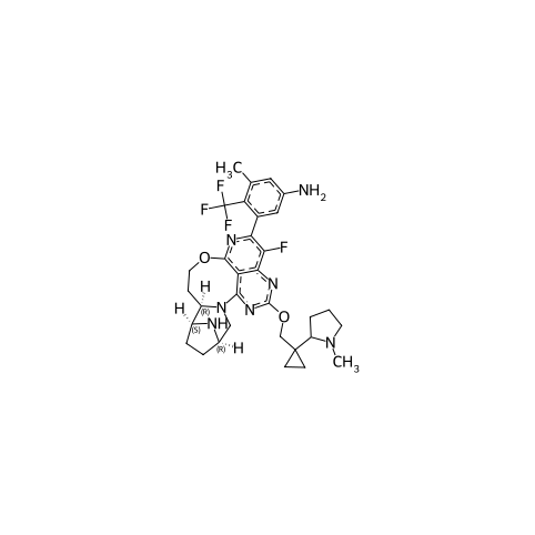 Cc1cc(N)cc(-c2nc3c4c(nc(OCC5(C6CCCN6C)CC5)nc4c2F)N2C[C@H]4CC[C@H](N4)[C@H]2CCO3)c1C(F)(F)F